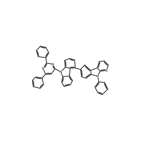 c1ccc(-c2cc(-n3c4ccccc4c4c(-c5ccc6c(c5)c5cccnc5n6-c5ccccc5)cccc43)nc(-c3ccccc3)n2)cc1